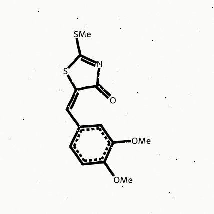 COc1ccc(C=C2SC(SC)=NC2=O)cc1OC